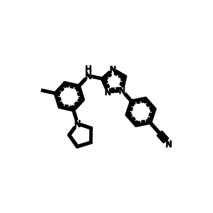 Cc1cc(Nc2ncn(-c3ccc(C#N)cc3)n2)cc(N2CCCC2)c1